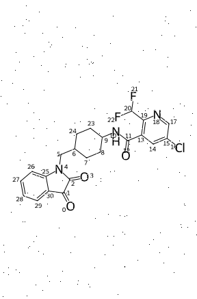 O=C1C(=O)N(CC2CCC(NC(=O)c3cc(Cl)cnc3C(F)F)CC2)c2ccccc21